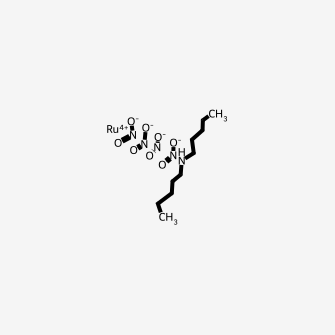 CCCCCNCCCCC.O=N[O-].O=N[O-].O=N[O-].O=N[O-].[Ru+4]